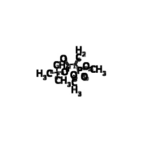 C=C(C(=O)OC(C)(C)C)P(=O)(OC)OC